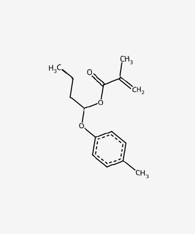 C=C(C)C(=O)OC(CCC)Oc1ccc(C)cc1